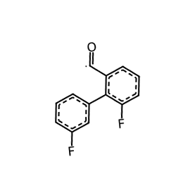 O=[C]c1cccc(F)c1-c1cccc(F)c1